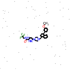 CCOc1cccc(-c2ccc(CN3CCN(c4ccc(C(=O)NCC(F)(F)F)nn4)CC3)c3ccccc23)c1